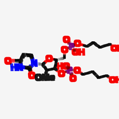 CO[C@@H]1C(OP(=O)(O)OCCCCO)[C@@H](COP(=O)(O)OCCCCO)O[C@H]1n1ccc(=O)[nH]c1=O